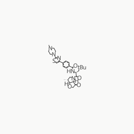 C[C@@H]1CN(C(=O)[C@H](CC(C)(C)C)NC(=O)c2ccc(-c3csc(N4CCN(C)CC4)n3)cc2)[C@@H]2C(=O)CO[C@H]12